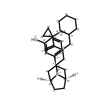 O=C(N(CCN1[C@@H]2CC[C@H]1C[C@@H](c1cccc(O)c1)C2)CC1CCCCC1)C1(O)CC1